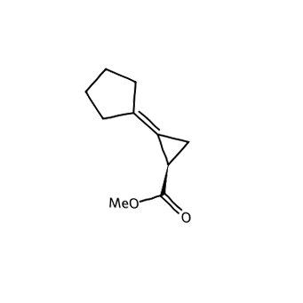 COC(=O)[C@@H]1CC1=C1CCCC1